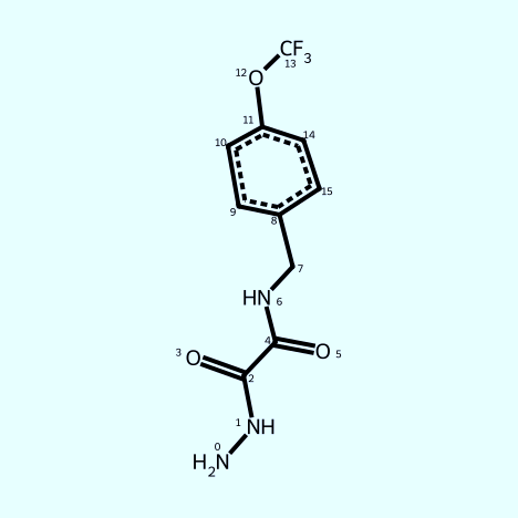 NNC(=O)C(=O)NCc1ccc(OC(F)(F)F)cc1